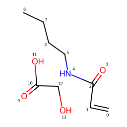 C=CC(=O)NCCCC.O=C(O)CO